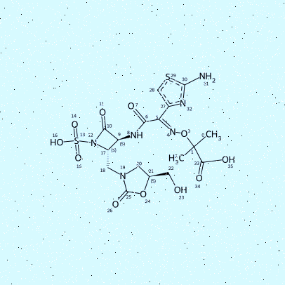 CC(C)(ON=C(C(=O)N[C@@H]1C(=O)N(S(=O)(=O)O)[C@H]1CN1C[C@@H](CO)OC1=O)c1csc(N)n1)C(=O)O